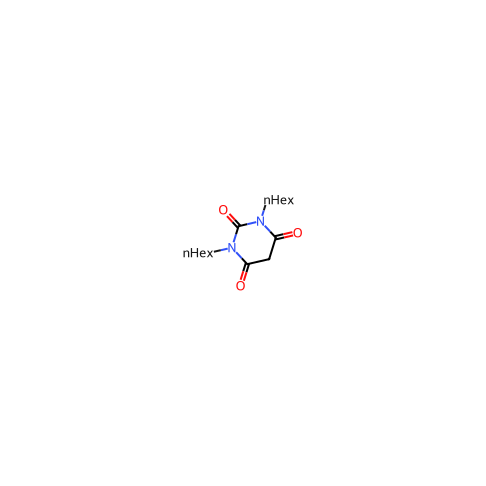 CCCCCCN1C(=O)CC(=O)N(CCCCCC)C1=O